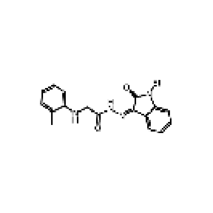 CCN1C(=O)/C(=N\NC(=O)CNc2ccccc2C)c2ccccc21